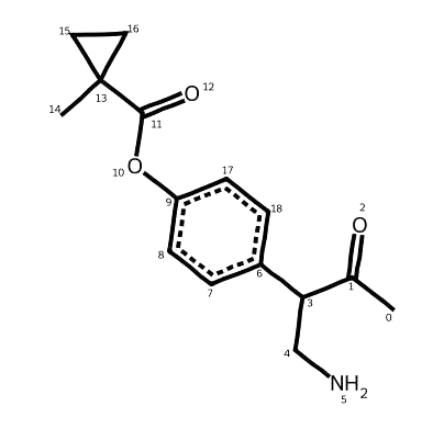 CC(=O)C(CN)c1ccc(OC(=O)C2(C)CC2)cc1